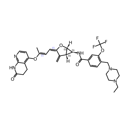 C=C1/C(=C\C=C(/C)Oc2ccnc3c2CCC(=O)N3)O[C@@H]2[C@@H](NC(=O)c3ccc(CN4CCN(CC)CC4)c(OC(F)(F)F)c3)[C@H]12